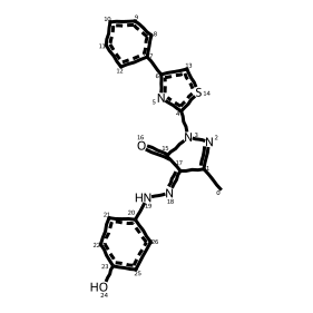 CC1=NN(c2nc(-c3ccccc3)cs2)C(=O)C1=NNc1ccc(O)cc1